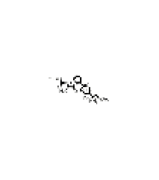 CCCCCCCCCCCC(N)C(=O)[C@@H](NC(=O)[C@@H]1CCCN1C(=O)[C@H](C)NC(=O)OC(C)(C)C)C(C)C